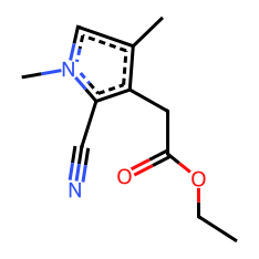 CCOC(=O)Cc1c(C)cn(C)c1C#N